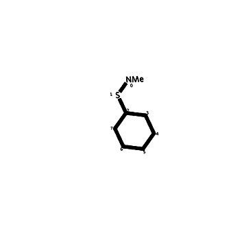 CNSC1CCCCC1